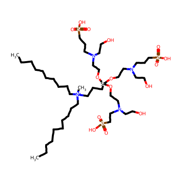 CCCCCCCCCC[N+](C)(CCCCCCCCCC)CCC[Si](OCCN(CCO)CCCS(=O)(=O)O)(OCCN(CCO)CCCS(=O)(=O)O)OCCN(CCO)CCS(=O)(=O)O